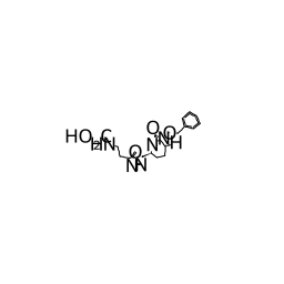 O=C(O)NCCc1nnc([C@@H]2CC[C@@H]3CN2C(=O)N3OCc2ccccc2)o1